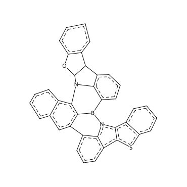 c1ccc2c(c1)OC1C2c2cccc3c2N1c1c2c(cc4ccccc14)-c1cccc4c5sc6ccccc6c5n(c14)B32